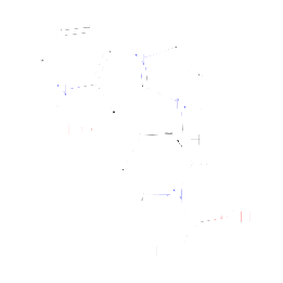 CB(O)N1CCC(C(O)(c2ccccn2)c2nccn2C)CC1